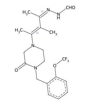 CC(=N/NC=O)/C(C)=C(\C)N1CCN(Cc2ccccc2OC(F)(F)F)C(=O)C1